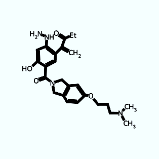 C=C(C(=O)CC)c1cc(C(=O)N2Cc3ccc(OCCCN(C)C)cc3C2)c(O)cc1NN